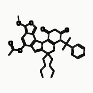 CCCCC1(CCCC)CC2=C(C(=O)CC(=O)C2C(C)(C)c2ccccc2)C2C1=Cc1c(OC(C)=O)cc3c(OC)occ3c12